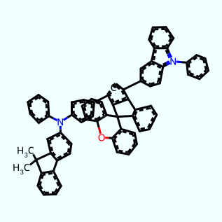 CC1(C)c2ccccc2-c2ccc(N(c3ccccc3)c3ccc(-c4ccc(-c5ccc6c(c5)c5ccccc5n6-c5ccccc5)c5c4C4(c6ccccc6Oc6ccccc64)c4ccccc4-5)cc3)cc21